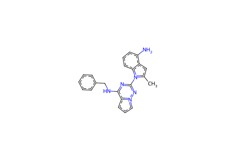 Cc1cc2c(N)cccc2n1-c1nc(NCc2ccccc2)c2cccn2n1